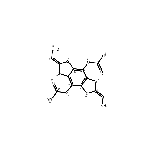 CC=C1Sc2c(OC(=O)CCC)c3c(c(OC(=O)CCC)c2S1)SC(=CC=O)S3